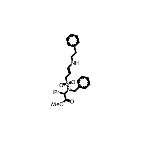 COC(=O)C(C(C)C)N(Cc1ccccc1)S(=O)(=O)CC=CNCCc1ccccc1